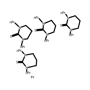 CCCN1CCCN(CCC)C1=S.CCCN1CCCN(CCC)C1=S.CCCN1CCCN(CCC)C1=S.CCCN1CCCN(CCC)C1=S.[Pt]